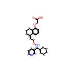 O=C(O)COc1cccc2c1CCC/C2=C/CONC(c1cccnc1)C1CCCCC1